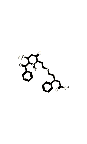 CC1CC(=O)C(CCSCCC(CC(=O)O)c2ccccc2)[N+](=[N-])C1C(=O)c1ccccc1